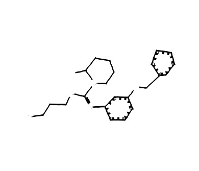 CC1CCCCN1/C(=N\c1cccc(OCc2ccccc2)c1)NCCCN